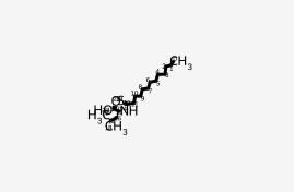 CCCCCCCCCCCCC(=S)N[C@@H](CC(C)C)C(=O)O